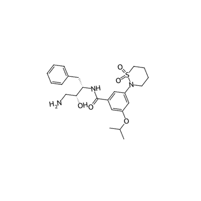 CC(C)Oc1cc(C(=O)N[C@@H](Cc2ccccc2)[C@H](O)CN)cc(N2CCCCS2(=O)=O)c1